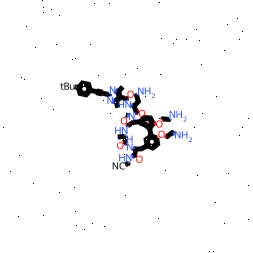 Cc1nc(C#Cc2ccc(C(C)(C)C)cc2)nc(C)c1C(=O)NC(CCN)C(=O)N(C)C1C(=O)NC(C)C(=O)NC(C(=O)NCC#N)Cc2ccc(OCCN)c(c2)-c2cc1ccc2OCCN